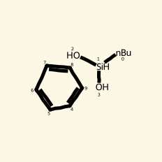 CCCC[SiH](O)O.c1ccccc1